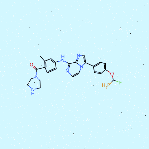 Cc1cc(Nc2nccn3c(-c4ccc(OC(F)P)cc4)cnc23)ccc1C(=O)N1CCNCC1